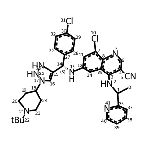 CC(Nc1c(C#N)cnc2c(Cl)cc(N[C@H](C3=CN(C4CCN(C(C)(C)C)CC4)NN3)c3ccc(Cl)cc3)cc12)c1ccccn1